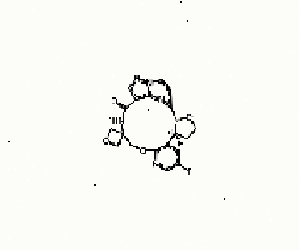 O=C1NC2(COC2)COc2ncc(F)cc2[C@H]2CCON2c2ccn3ncc1c3n2